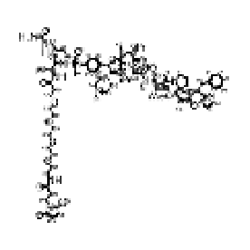 CC[C@H](C)[C@@H]([C@@H](CC(=O)N1CCC[C@H]1[C@H](OC)[C@@H](C)C(=O)N[C@@H](Cc1ccccc1)c1nccs1)OC)N(C)C(=O)[C@@H](NC(=O)[C@H](C(C)C)N(C)C(=O)OC(C(=O)N1CCN(C)CC1)c1ccc(NC(=O)[C@H](CCCNC(N)=O)NC(=O)[C@@H](NC(=O)CCOCCOCCOCCOCCNC(=O)CCN2C(=O)C=CC2=O)C(C)C)cc1)C(C)C